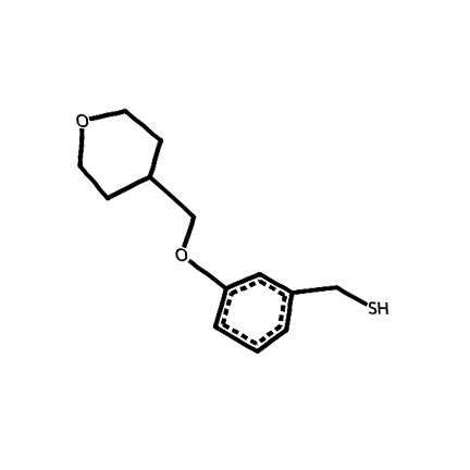 SCc1cccc(OCC2CCOCC2)c1